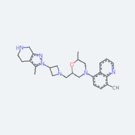 Cc1c2c(nn1C1CN(CC3CN(c4ccc(C#N)c5ncccc45)CC(C)O3)C1)CNCC2